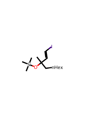 CCCCCCCC(C)(C=CI)O[Si](C)(C)C